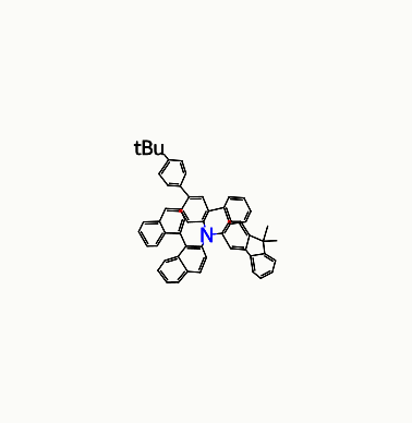 CC(C)(C)c1ccc(-c2ccc(N(c3ccc4c(c3)-c3ccccc3C4(C)C)c3ccc4ccccc4c3-c3cccc4ccccc34)c(-c3ccccc3)c2)cc1